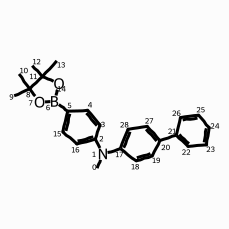 CN(c1ccc(B2OC(C)(C)C(C)(C)O2)cc1)c1ccc(-c2ccccc2)cc1